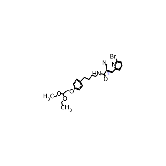 CCOC(COc1ccc(CCCCNC(=O)/C(C#N)=C/c2cccc(Br)n2)cc1)OCC